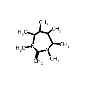 C=C1N(C)C(C)C(C)C(C)C(C)N1C